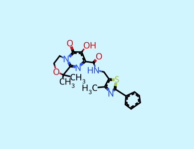 Cc1nc(-c2ccccc2)sc1CNC(=O)c1nc2n(c(=O)c1O)CCOC2(C)C